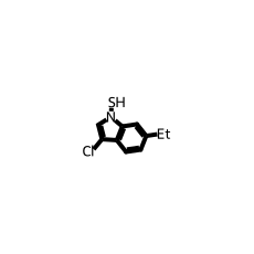 CCc1ccc2c(Cl)cn(S)c2c1